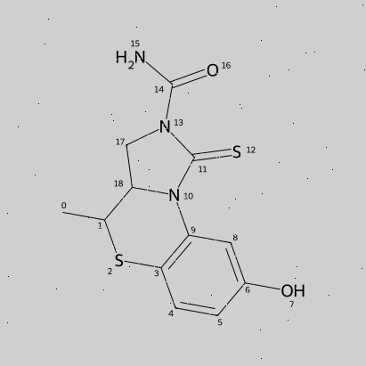 CC1Sc2ccc(O)cc2N2C(=S)N(C(N)=O)CC12